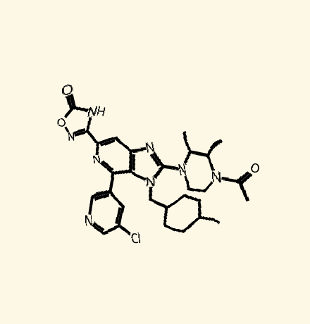 CC(=O)N1CCN(c2nc3cc(-c4noc(=O)[nH]4)nc(-c4cncc(Cl)c4)c3n2CC2CCC(C)CC2)C(C)C1C